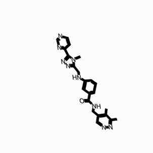 Cc1nncc(CNC(=O)c2cccc(NCc3nnc(-c4ccncn4)n3C)c2)c1C